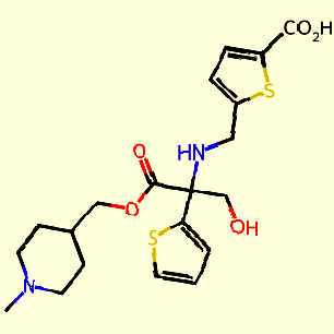 CN1CCC(COC(=O)C(CO)(NCc2ccc(C(=O)O)s2)c2cccs2)CC1